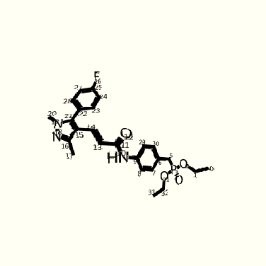 CCOP(=O)(Cc1ccc(NC(=O)/C=C/c2c(C)nn(C)c2-c2ccc(F)cc2)cc1)OCC